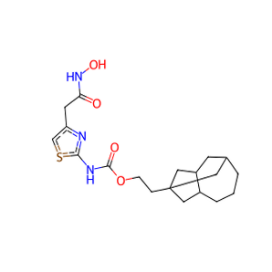 O=C(Cc1csc(NC(=O)OCCC23CC4CCCC(C2)C(C4)C3)n1)NO